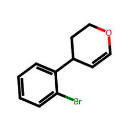 Brc1ccccc1C1C=COCC1